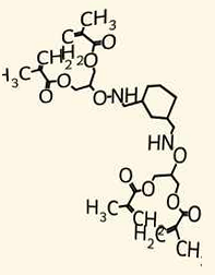 C=C(C)C(=O)OCC(COC(=O)C(=C)C)ONCC1CCCC(CNOC(COC(=O)C(=C)C)COC(=O)C(=C)C)C1